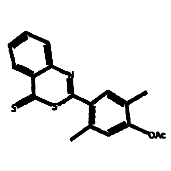 CC(=O)Oc1cc(C)c(-c2nc3ccccc3c(=S)s2)cc1C